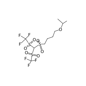 CC(C)OCCCCS(=O)(=O)C(S(=O)(=O)C(F)(F)F)S(=O)(=O)C(F)(F)F